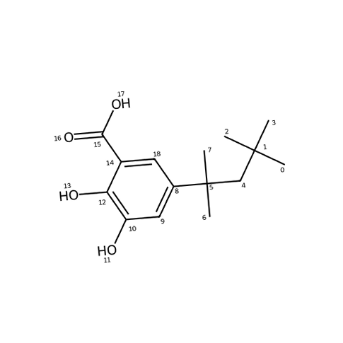 CC(C)(C)CC(C)(C)c1cc(O)c(O)c(C(=O)O)c1